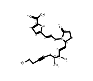 CCCC#CC[C@H](C)[C@H](O)C=CC1CCC(=O)N1CC=Cc1ccc(C(=O)O)s1